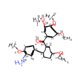 COc1ccc(C2CCC(OC)CC2C(=O)c2cc(OC)c(OC)c(OC)c2)cc1N